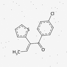 C/C=C(/C(=O)c1ccc(Cl)cc1)c1cccs1